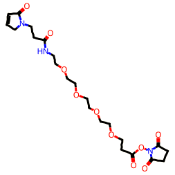 O=C(CCN1CC=CC1=O)NCCOCCOCCOCCOCCC(=O)ON1C(=O)CCC1=O